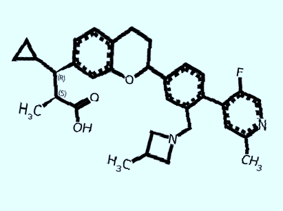 Cc1cc(-c2ccc(C3CCc4ccc([C@H](C5CC5)[C@H](C)C(=O)O)cc4O3)cc2CN2CC(C)C2)c(F)cn1